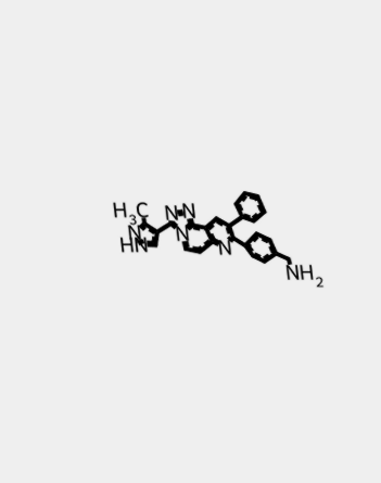 Cc1n[nH]cc1-c1nnc2c3cc(-c4ccccc4)c(-c4ccc(CN)cc4)nc3ccn12